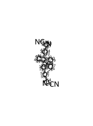 N#Cc1cncc(-c2ccc(-c3ccc4c(c3)C(c3ccccc3)(c3ccccc3)c3cc(-c5ccc(-c6cncc(C#N)c6)cc5)c5ccccc5c3-4)cc2)c1